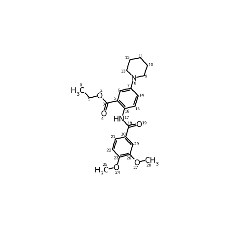 CCOC(=O)c1cc(N2CCCCC2)ccc1NC(=O)c1ccc(OC)c(OC)c1